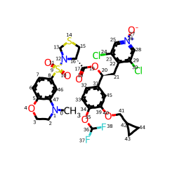 CN1CCOc2ccc(S(=O)(=O)N3CSC[C@@H]3C(=O)O[C@@H](Cc3c(Cl)c[n+]([O-])cc3Cl)c3ccc(OC(F)F)c(OCC4CC4)c3)cc21